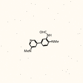 CNc1cncc(-c2ccc(NC)c(NC=O)c2)c1